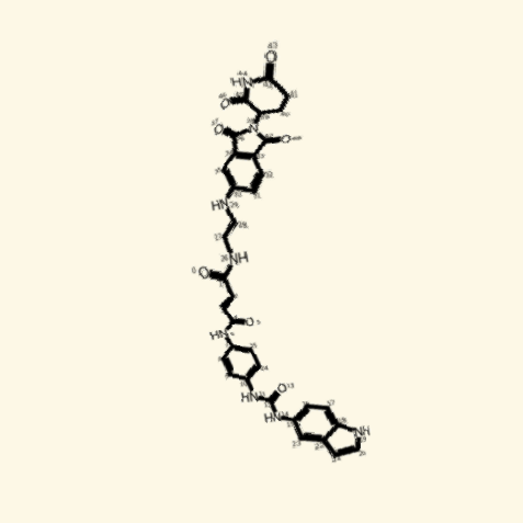 O=C(/C=C/C(=O)Nc1ccc(NC(=O)Nc2ccc3[nH]ccc3c2)cc1)NCCNc1ccc2c(c1)C(=O)N(C1CCC(=O)NC1=O)C2=O